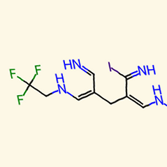 CN/C=C(/C/C(C=N)=C/NCC(F)(F)F)C(=N)I